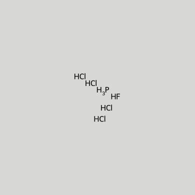 Cl.Cl.Cl.Cl.F.P